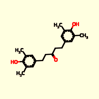 Cc1cc(CCC(=O)CCc2cc(C)c(O)c(C)c2)cc(C)c1O